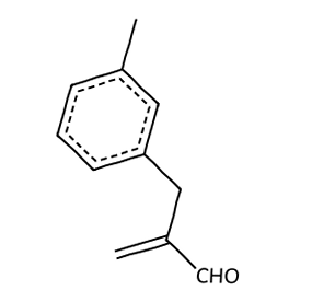 C=C(C=O)Cc1cccc(C)c1